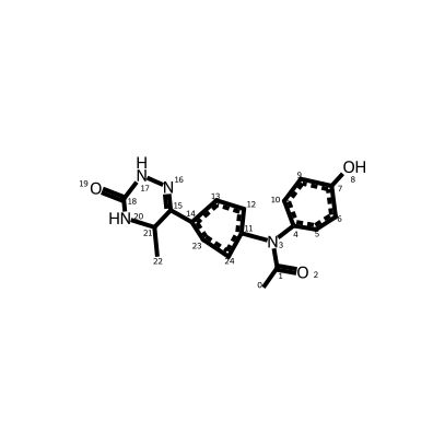 CC(=O)N(c1ccc(O)cc1)c1ccc(C2=NNC(=O)NC2C)cc1